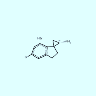 Br.N[C@H]1CC12CCc1cc(Br)ccc12